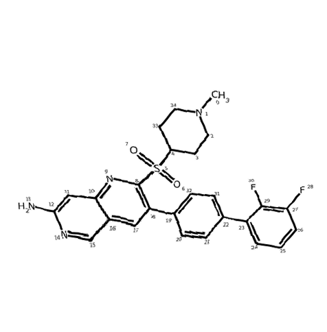 CN1CCC(S(=O)(=O)c2nc3cc(N)ncc3cc2-c2ccc(-c3cccc(F)c3F)cc2)CC1